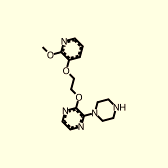 COc1ncccc1OCCOc1nccnc1N1CCNCC1